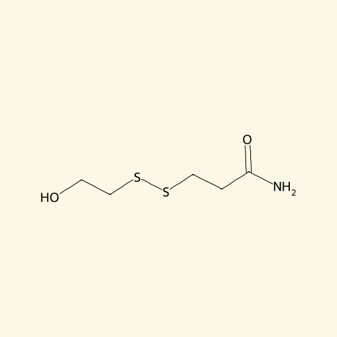 NC(=O)CCSSCCO